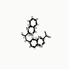 CC(C)c1cnc2ccc(CC(C)c3ncc4ccccc4n3)cc2n1